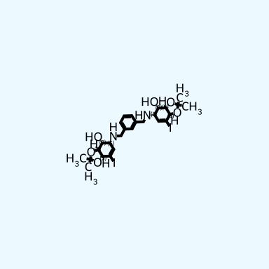 CC1(C)O[C@H]2[C@H](O)[C@@H](NCc3cccc(CN[C@H]4C=C(I)[C@H]5OC(C)(C)O[C@H]5[C@@H]4O)c3)C=C(I)[C@H]2O1